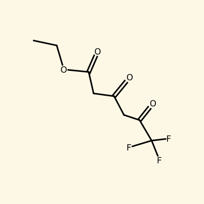 CCOC(=O)CC(=O)CC(=O)C(F)(F)F